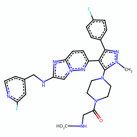 Cn1nc(-c2ccc(F)cc2)c(-c2ccc3nc(NCc4ccnc(F)c4)cn3n2)c1N1CCN(C(=O)CNC(=O)O)CC1